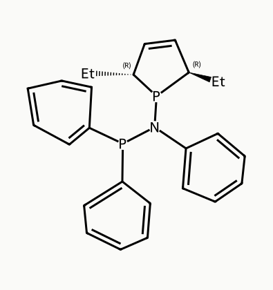 CC[C@@H]1C=C[C@@H](CC)P1N(c1ccccc1)P(c1ccccc1)c1ccccc1